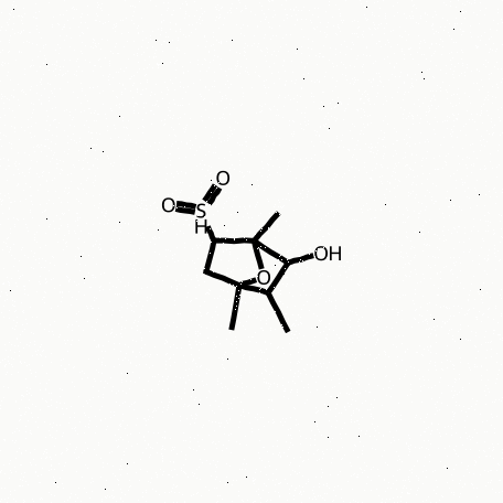 CC1C(O)C2(C)OC1(C)CC2[SH](=O)=O